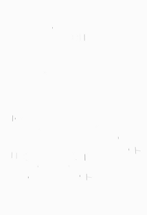 COc1ccc(-c2cc(C(O)C#Cc3ccc(C(=O)O)cc3)cc3c2C(C)(C)CCC3(C)C)cc1